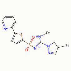 CCN/C(=N\S(=O)(=O)c1ccc(-c2ccccn2)s1)N1CC(CC)C=N1